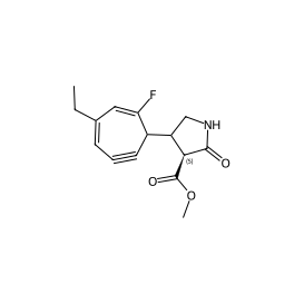 CCC1=CC#CC(C2CNC(=O)[C@H]2C(=O)OC)C(F)=C1